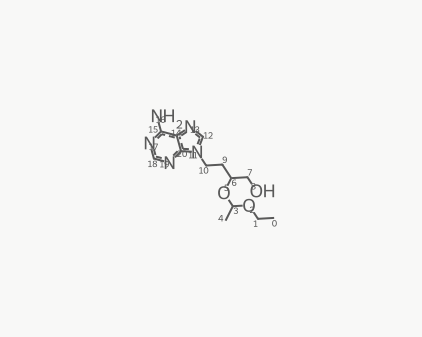 CCOC(C)OC(CO)CCn1cnc2c(N)ncnc21